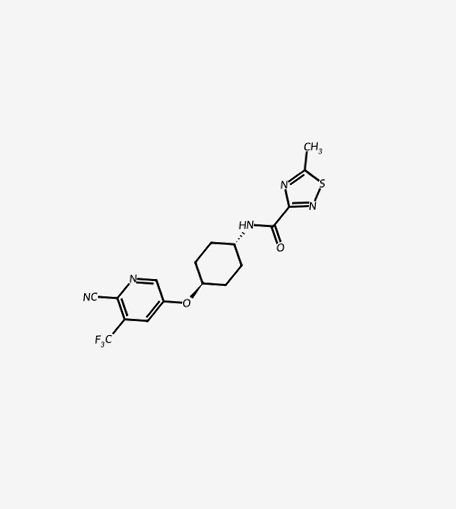 Cc1nc(C(=O)N[C@H]2CC[C@H](Oc3cnc(C#N)c(C(F)(F)F)c3)CC2)ns1